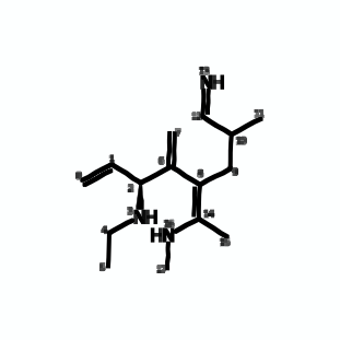 C=C[C@H](NCC)C(=C)/C(CC(C)C=N)=C(/C)NC